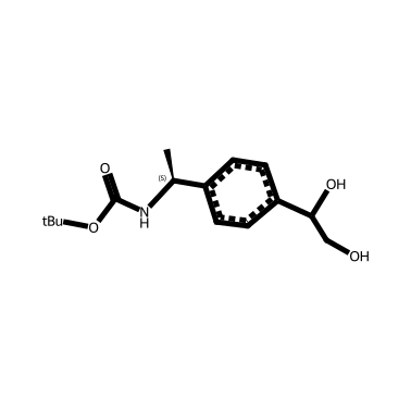 C[C@H](NC(=O)OC(C)(C)C)c1ccc(C(O)CO)cc1